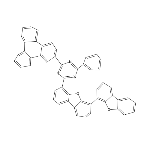 c1ccc(-c2nc(-c3ccc4c5ccccc5c5ccccc5c4c3)nc(-c3cccc4c3oc3c(-c5cccc6c5oc5ccccc56)cccc34)n2)cc1